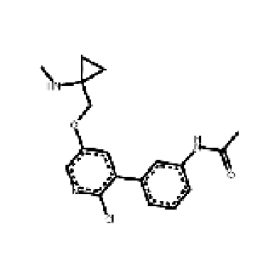 CNC1(COc2cnc(Cl)c(-c3cccc(NC(C)=O)c3)c2)CC1